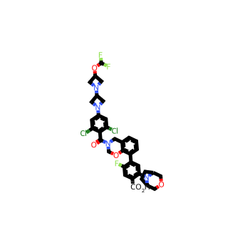 O=C(O)c1cc(F)c(-c2cccc3c2OCN(C(=O)c2c(Cl)cc(N4CC(N5CC(OC(F)F)C5)C4)cc2Cl)C3)cc1N1C2CCC1COC2